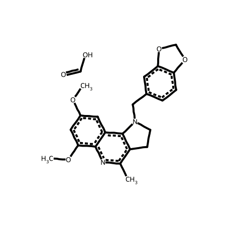 COc1cc(OC)c2nc(C)c3c(c2c1)N(Cc1ccc2c(c1)OCO2)CC3.O=CO